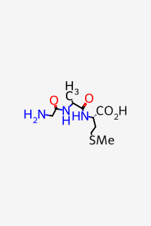 CSCC[C@H](NC(=O)[C@H](C)NC(=O)CN)C(=O)O